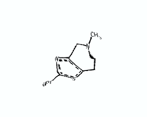 CC(C)c1nc2c(s1)CCN(C)C2